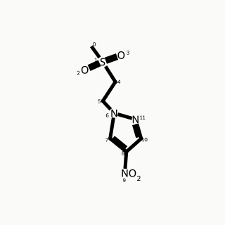 CS(=O)(=O)CCn1cc([N+](=O)[O-])cn1